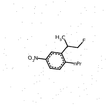 CCCc1ccc([N+](=O)[O-])cc1[C](C)CF